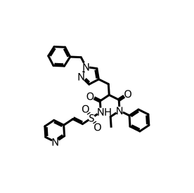 CCN(C(=O)C(Cc1cnn(Cc2ccccc2)c1)C(=O)NS(=O)(=O)/C=C/c1cccnc1)c1ccccc1